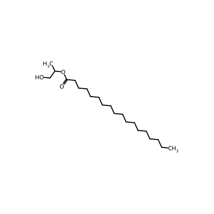 CCCCCCCCCCCCCCCCCC(=O)OC(C)CO